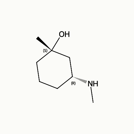 CN[C@@H]1CCC[C@](C)(O)C1